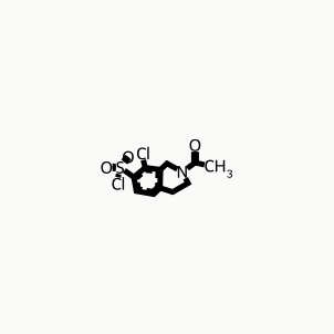 CC(=O)N1CCc2ccc(S(=O)(=O)Cl)c(Cl)c2C1